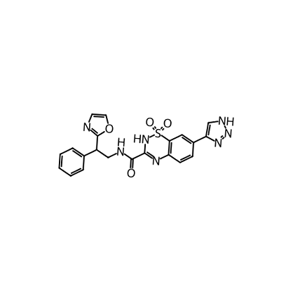 O=C(NCC(c1ccccc1)c1ncco1)C1=Nc2ccc(-c3c[nH]nn3)cc2S(=O)(=O)N1